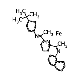 CC(=Nc1ccc(C(C)(C)C)cc1)c1cccc(C(C)=Nc2cccc3ccccc23)n1.[Fe]